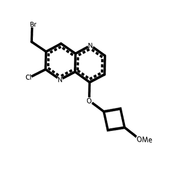 COC1CC(Oc2ccnc3cc(CBr)c(Cl)nc23)C1